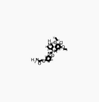 CCOc1cc(CN(c2nc3cc(OCC(N)=O)ccc3o2)C2CCNCC2)cc(OCC)c1Cl